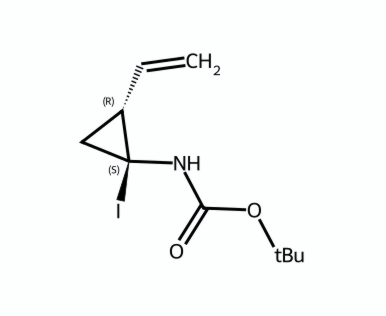 C=C[C@H]1C[C@@]1(I)NC(=O)OC(C)(C)C